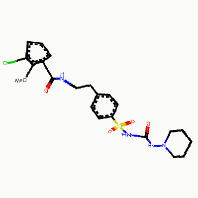 COc1c(Cl)cccc1C(=O)NCCc1ccc(S(=O)(=O)NC(=O)NN2CCCCC2)cc1